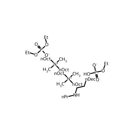 CCCCCCCCCCCCNCCC.CCCCCCCC[N+](C)(C)CCCCCCCC.CCCCCCCC[N+](C)(C)CCCCCCCC.CCOP(=O)([O-])O.CCOP(=O)([O-])OCC